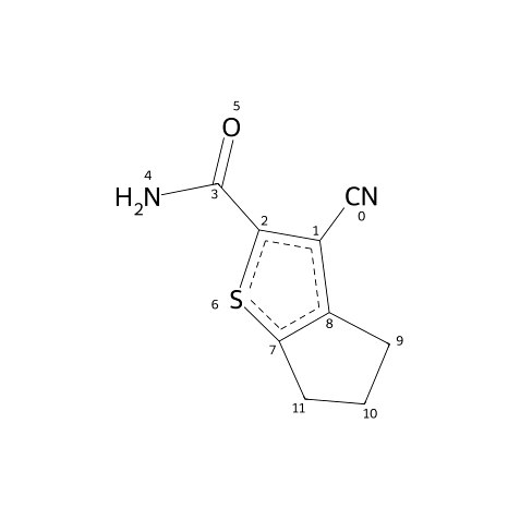 N#Cc1c(C(N)=O)sc2c1CCC2